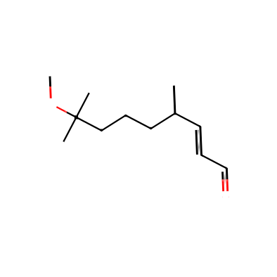 COC(C)(C)CCCC(C)/C=C/C=O